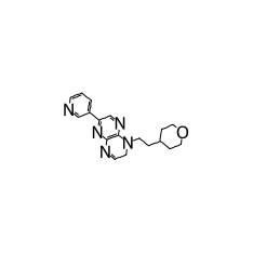 C1=Nc2nc(-c3cccnc3)cnc2N(CCC2CCOCC2)C1